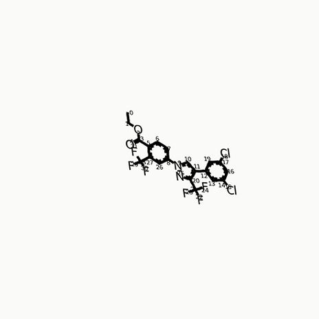 CCOC(=O)c1ccc(-n2cc(-c3cc(Cl)cc(Cl)c3)c(C(F)(F)F)n2)cc1C(F)(F)F